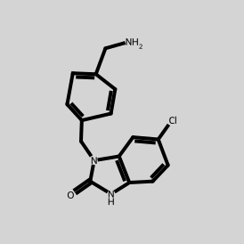 NCc1ccc(Cn2c(=O)[nH]c3ccc(Cl)cc32)cc1